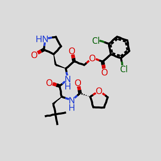 CC(C)(C)C[C@H](NC(=O)[C@H]1CCCO1)C(=O)N[C@@H](C[C@@H]1CCNC1=O)C(=O)COC(=O)c1c(Cl)cccc1Cl